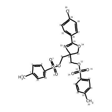 Cc1ccc(S(=O)(=O)OCC2(COS(=O)(=O)c3ccc(C)cc3)COC(c3ccc(Cl)cc3)=N2)cc1